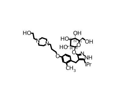 Cc1cc(OCCCN2CCN(CCO)CC2)ccc1Cc1c(O[C@@H]2O[C@H](CO)[C@@H](O)[C@H](O)[C@H]2O)n[nH]c1C(C)C